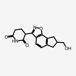 O=C1CCC(c2noc3c4c(ccc23)CC(CO)C4)C(=O)N1